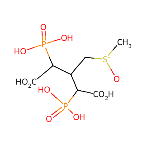 C[S+]([O-])CC(C(C(=O)O)P(=O)(O)O)C(C(=O)O)P(=O)(O)O